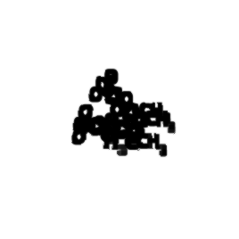 CC1(C)CC2(CC(C)(C)c3cc4oc5cc6c(=O)oc(=O)c6cc5oc4cc32)c2cc3oc4cc5c(=O)oc(=O)c5cc4oc3cc21